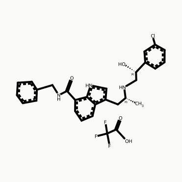 C[C@H](Cc1c[nH]c2c(C(=O)NCc3ccccc3)cccc12)NC[C@H](O)c1cccc(Cl)c1.O=C(O)C(F)(F)F